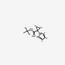 CC(C)(C)OC(=O)C1(n2cccn2)CC1